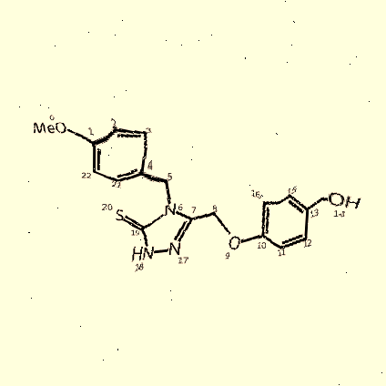 COc1ccc(Cn2c(COc3ccc(O)cc3)n[nH]c2=S)cc1